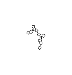 c1ccc(-c2ccc3cc(-n4c5ccccc5c5cc(-c6ccc7c8ccccc8n(-c8ccc9ccccc9c8)c7c6)ccc54)ccc3c2)cc1